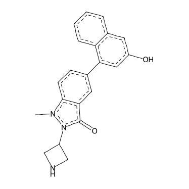 Cn1c2ccc(-c3cc(O)cc4ccccc34)cc2c(=O)n1C1CNC1